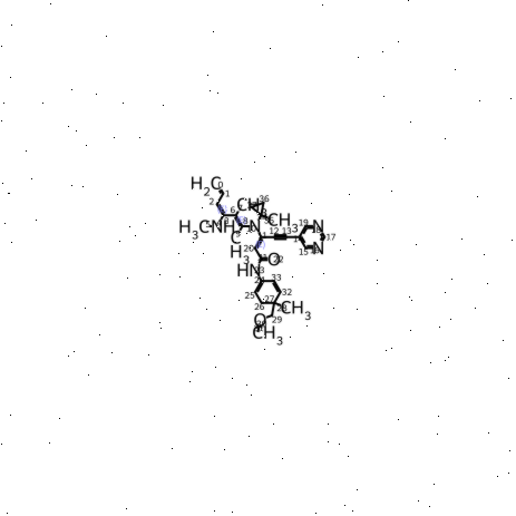 C=C/C=C(NC)\C(C)=C(/C)N(/C(C#Cc1cncnc1)=C/C(=O)NC1=CCC(C)(COC)C=C1)C1(C)CC1